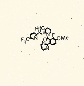 COc1ccc(-c2ncccn2)c(C(=O)N2CCC[C@@H](C)[C@H]2CNc2ccc(C(F)(F)F)cn2)c1F